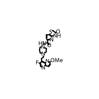 COc1ccc2ncc(F)c(CCN3CCCN(NC(=O)c4ccc5c(n4)NC(=O)CS5)CC3)c2n1